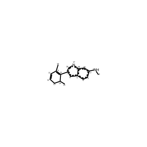 CNc1ccc2cc(C3=C(C)C=CCC3C)cnc2c1